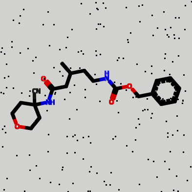 CC(CCNC(=O)OCc1ccccc1)CC(=O)NC1(C#N)CCOCC1